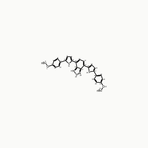 CCCCOc1ccc(-c2ccc(-c3ccc(-c4ccc(-c5ccc(OCCCC)cc5)s4)c4nsnc34)s2)cc1